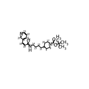 CC(C)(C)OC(=O)N1CCC(CCCCNC(=O)/C=C\c2cccnc2)CC1